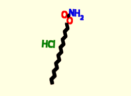 CCCCCCCCCCCCCCCCOC(N)=O.Cl